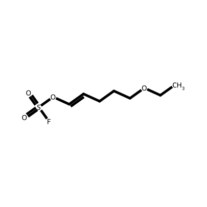 CCOCCCC=COS(=O)(=O)F